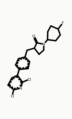 O=C1C(Cc2ccc(-c3ccc(Cl)nc3Cl)cc2)CCN1C1CCC(F)CC1